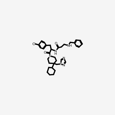 O=C(CCNCc1ccccc1)NC(Cc1ccc(Cl)cc1)C(=O)N1CCC(Cn2cncn2)(C2CCCCC2)CC1